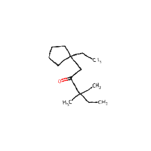 CCC1(CC(=O)C(C)(C)CC)CCCC1